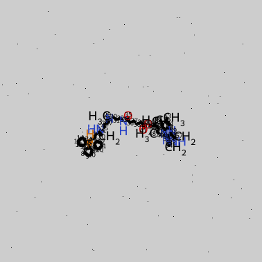 C=C(CCC[PH](c1ccccc1)(c1ccccc1)c1ccccc1)NCCCN(C)CCCNC(=O)CCCCC(=O)OCC(C)CC(C)CN1C2=NC(=C)NC(=C)C2=Nc2cc(C)c(C)cc21